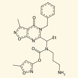 CCC(c1nc2onc(C)c2c(=O)n1Cc1ccccc1)N(CCCN)C(=O)Oc1cc(C)on1